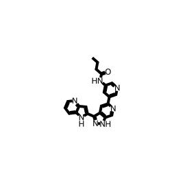 CCCC(=O)Nc1cncc(-c2cc3c(-c4cc5ncccc5[nH]4)n[nH]c3cn2)c1